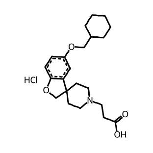 Cl.O=C(O)CCN1CCC2(CC1)COc1ccc(OCC3CCCCC3)cc12